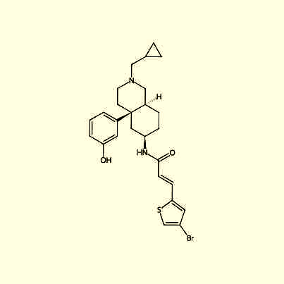 O=C(C=Cc1cc(Br)cs1)N[C@@H]1CC[C@@H]2CN(CC3CC3)CC[C@@]2(c2cccc(O)c2)C1